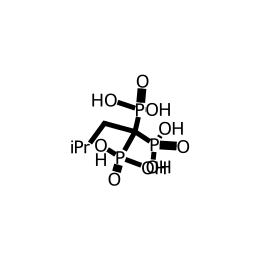 CC(C)CC(P(=O)(O)O)(P(=O)(O)O)P(=O)(O)O